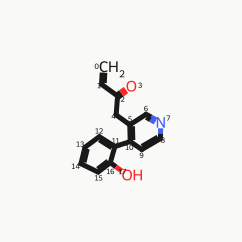 C=CC(=O)Cc1cnccc1-c1ccccc1O